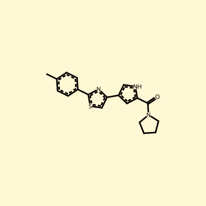 Cc1ccc(-c2nc(-c3c[nH]c(C(=O)N4CCCC4)c3)cs2)cc1